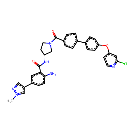 Cn1cc(-c2ccc(N)c(C(=O)N[C@@H]3CCN(C(=O)c4ccc(-c5ccc(Oc6ccnc(Cl)c6)cc5)cc4)C3)c2)cn1